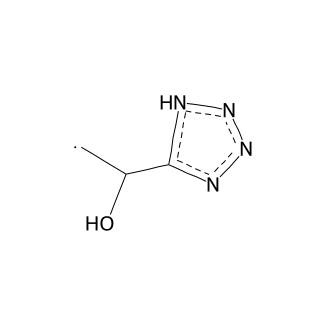 [CH2]C(O)c1nnn[nH]1